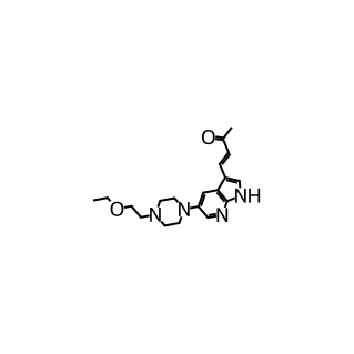 CCOCCN1CCN(c2cnc3[nH]cc(/C=C/C(C)=O)c3c2)CC1